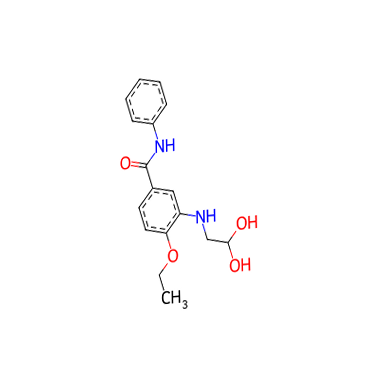 CCOc1ccc(C(=O)Nc2ccccc2)cc1NCC(O)O